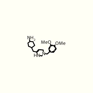 COc1ccc(CN2CC=C(CC3CCC(N)CC3)NC2)cc1OC